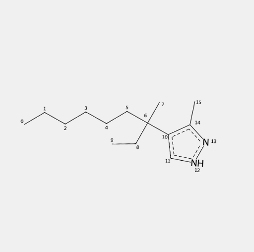 CCCCCCC(C)(CC)c1c[nH]nc1C